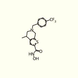 CC1CN(Cc2ccc(C(F)(F)F)cc2)Cc2sc(C(=O)NO)cc21